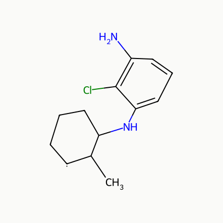 CC1[CH]CCCC1Nc1cccc(N)c1Cl